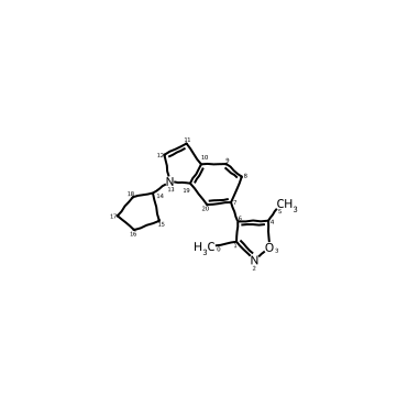 Cc1noc(C)c1-c1ccc2ccn(C3CCCC3)c2c1